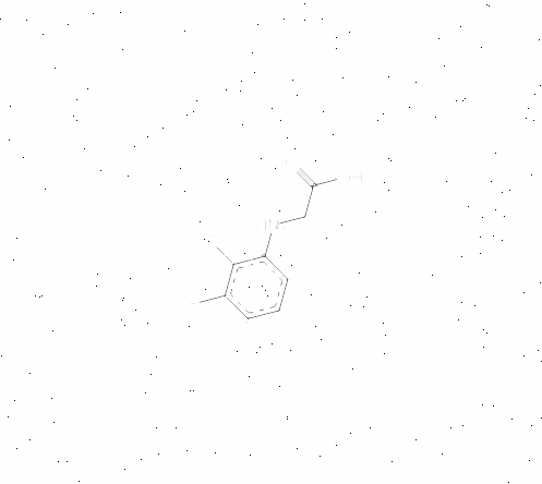 O=C(O)CNc1cccc(F)c1F